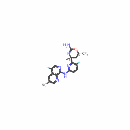 C[C@]1(c2nc(Nc3ncc(F)c4cc(C#N)cnc34)ccc2F)C[C@@H](C(F)(F)F)OC(N)=N1